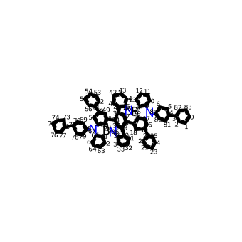 c1ccc(-c2ccc(N3c4ccccc4B4c5c(cc(-c6ccccc6)cc53)-c3c5c6ccccc6n6c5c(c5c7ccccc7n4c35)-c3cc(-c4ccccc4)cc4c3B6c3ccccc3N4c3ccc(-c4ccccc4)cc3)cc2)cc1